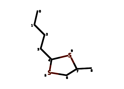 CCCCC1SCC(C)S1